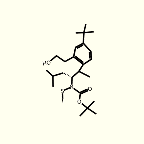 CC(C)C[C@H](C(C)c1ccc(C(C)(C)C)cc1CCO)N(SI)C(=O)OC(C)(C)C